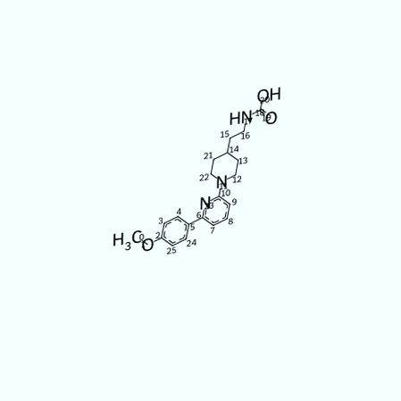 COc1ccc(-c2cccc(N3CCC(CCNC(=O)O)CC3)n2)cc1